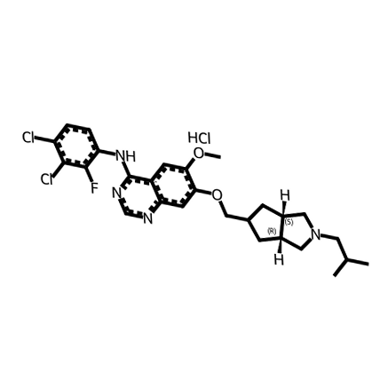 COc1cc2c(Nc3ccc(Cl)c(Cl)c3F)ncnc2cc1OCC1C[C@@H]2CN(CC(C)C)C[C@@H]2C1.Cl